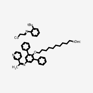 CC(C)(C)c1ccccc1N=C[CH2][Co].CCCCCCCCCCCCCCCCCCCCOc1c(-c2ccccc2)cc(N=C(C)c2cccnc2)cc1-c1ccccc1